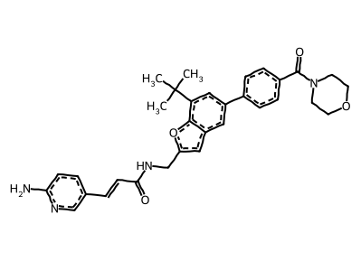 CC(C)(C)c1cc(-c2ccc(C(=O)N3CCOCC3)cc2)cc2cc(CNC(=O)C=Cc3ccc(N)nc3)oc12